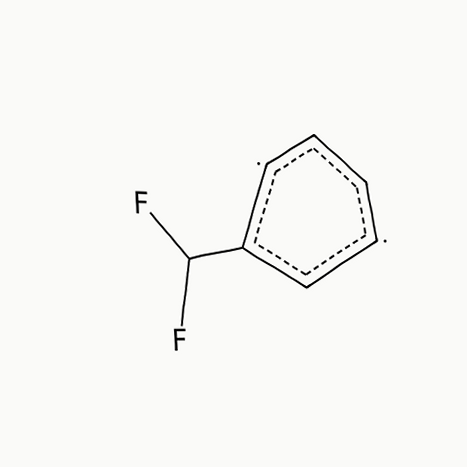 FC(F)c1[c]cc[c]c1